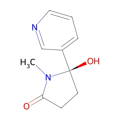 CN1C(=O)CC[C@@]1(O)c1cccnc1